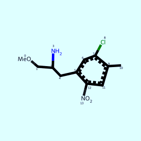 COCC(N)Cc1cc(Cl)c(C)cc1[N+](=O)[O-]